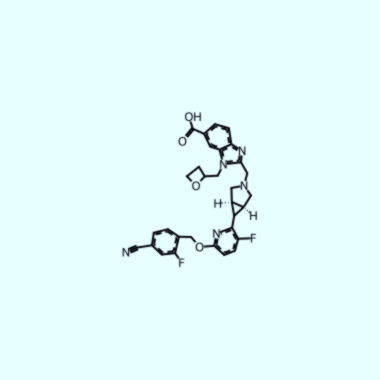 N#Cc1ccc(COc2ccc(F)c(C3[C@H]4CN(Cc5nc6ccc(C(=O)O)cc6n5CC5CCO5)C[C@@H]34)n2)c(F)c1